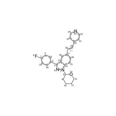 Fc1ccc(-c2nn(C3CCCCO3)c3ccc(/C=C/c4ccncc4)cc23)cc1